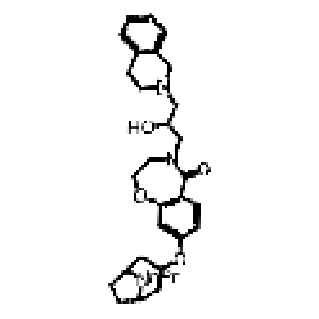 CCCN1C2CCC1CC(Oc1ccc3c(c1)OCCN(CC(O)CN1CCc4ccccc4C1)C3=O)C2